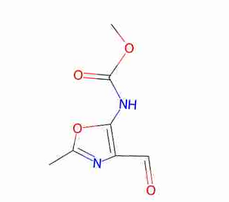 COC(=O)Nc1oc(C)nc1C=O